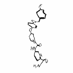 NC(=O)c1ccc(NC(=O)N2CCC(Oc3ccc(OCc4cccc(F)c4)cc3)CC2)cn1